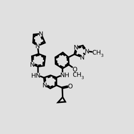 COc1c(Nc2cc(Nc3ccc(-n4ccnc4)cn3)ncc2C(=O)C2CC2)cccc1-c1ncn(C)n1